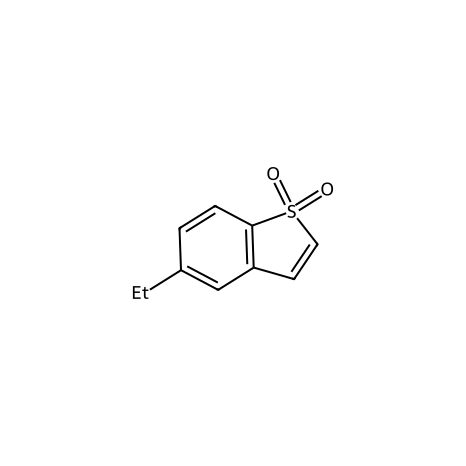 CCc1ccc2c(c1)C=CS2(=O)=O